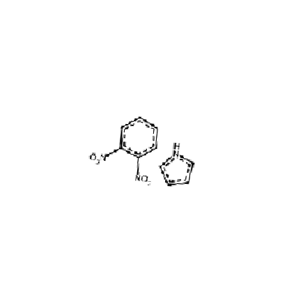 O=[N+]([O-])c1ccccc1[N+](=O)[O-].c1cc[nH]c1